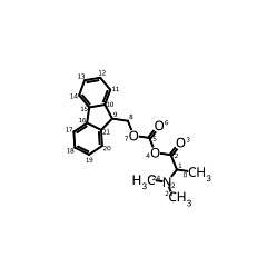 CC(C(=O)OC(=O)OCC1c2ccccc2-c2ccccc21)N(C)C